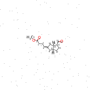 COC(=O)CC/C=C1/C[C@H]2CC[C@H](C=O)[C@H]2C1